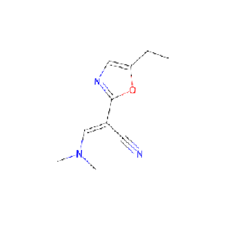 CCc1cnc(C(C#N)=CN(C)C)o1